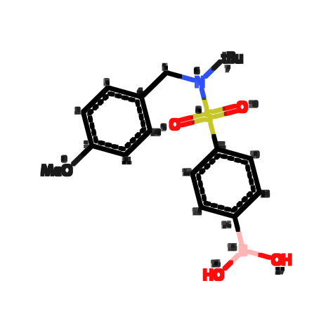 COc1ccc(CN(C(C)(C)C)S(=O)(=O)c2ccc(B(O)O)cc2)cc1